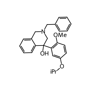 COc1ccc(OC(C)C)cc1C1(O)CN(Cc2ccccc2)Cc2ccccc21